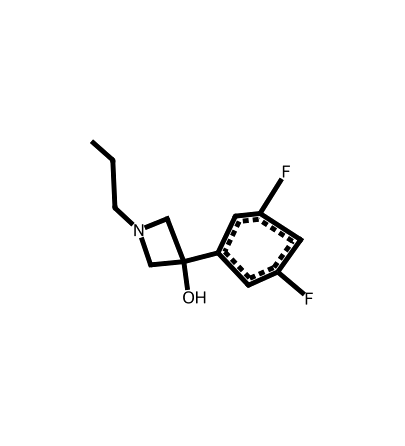 CCCN1CC(O)(c2cc(F)cc(F)c2)C1